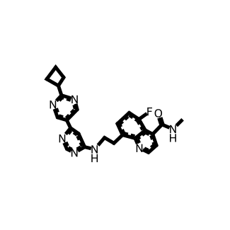 CNC(=O)c1ccnc2c(CCNc3cc(-c4cnc(C5CCC5)nc4)ncn3)ccc(F)c12